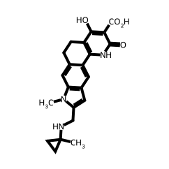 Cn1c(CNC2(C)CC2)cc2cc3c(cc21)CCc1c-3[nH]c(=O)c(C(=O)O)c1O